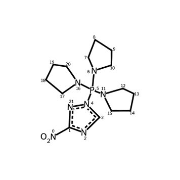 O=[N+]([O-])c1ncn([P](N2CCCC2)(N2CCCC2)N2CCCC2)n1